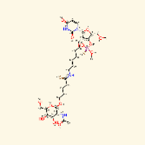 COC[C@H]1O[C@@H](n2ccc(=O)[nH]c2=O)[C@@H](CCCCCCCNC(=S)CCCCO[C@@H]2O[C@H](CO)[C@H](O)[C@H](O)[C@H]2NC(C)=O)C1OP(O)(=S)OC